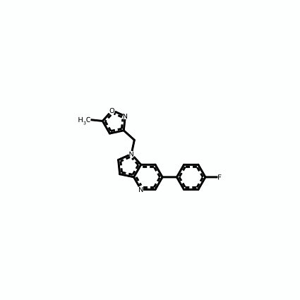 Cc1cc(Cn2ccc3ncc(-c4ccc(F)cc4)cc32)no1